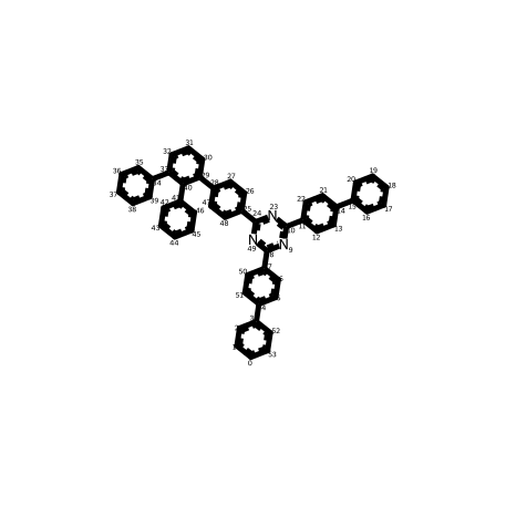 c1ccc(-c2ccc(-c3nc(-c4ccc(-c5ccccc5)cc4)nc(-c4ccc(-c5cccc(-c6ccccc6)c5-c5ccccc5)cc4)n3)cc2)cc1